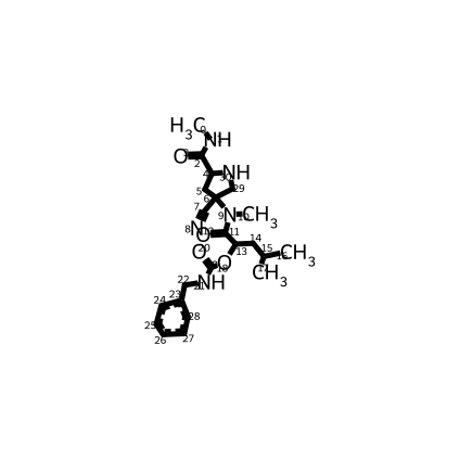 CNC(=O)C1CC(C#N)(N(C)C(=O)C(CC(C)C)OC(=O)NCc2ccccc2)CN1